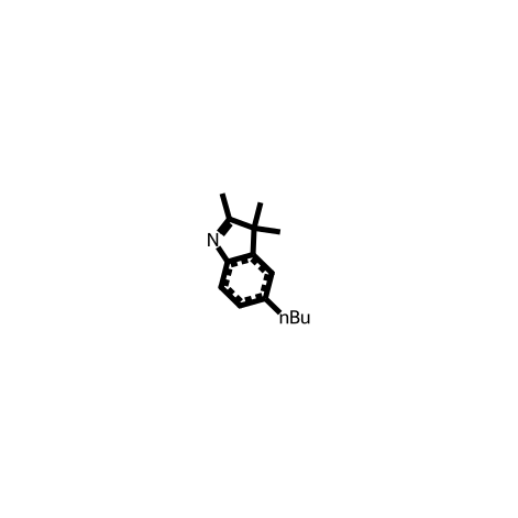 CCCCc1ccc2c(c1)C(C)(C)C(C)=N2